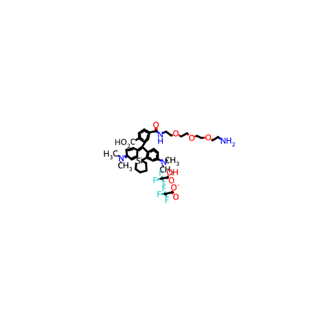 CN(C)c1ccc2c(c1)[Si]1(CCCCC1)C1=CC(=[N+](C)C)C=CC1=C2c1cc(C(=O)NCCOCCOCCOCCN)ccc1C(=O)O.O=C(O)C(F)(F)F.O=C([O-])C(F)(F)F